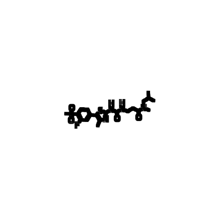 Cc1nc(NC(=O)NCCC(=O)N(C)CC(C)C)sc1-c1ccc(S(C)(=O)=O)c(F)c1